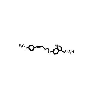 O=C(O)Cc1c[nH]c2cc(OCCCC#Cc3ccc(OC(F)(F)F)cc3)ccc12